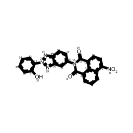 O=C1c2cccc3c([N+](=O)[O-])ccc(c23)C(=O)N1c1ccc2nn(-c3ccccc3O)nc2c1